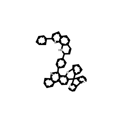 C1=CC(c2ccc(-c3nc4ccccc4c4ccc5c(c34)Oc3ccccc3C53c4ccccc4-c4ccccc43)cc2)Nc2c1ccc1ccc(-c3ccccc3)nc21